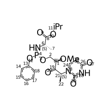 CO[C@H](COP(N[C@@H](C)C(=O)OC(C)C)Oc1ccccc1)C(=O)[C@H](C)n1ccc(=O)[nH]c1=O